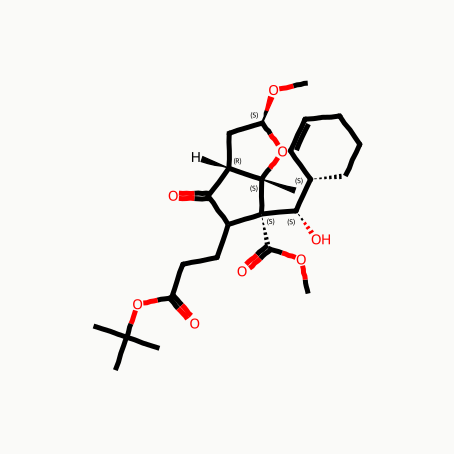 COC(=O)[C@]1([C@@H](O)[C@@H]2C=CCCC2)C(CCC(=O)OC(C)(C)C)C(=O)[C@@H]2C[C@@H](OC)O[C@@]21C